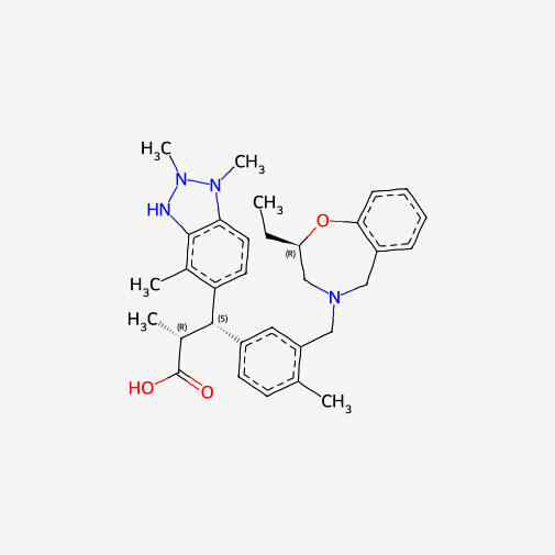 CC[C@@H]1CN(Cc2cc([C@@H](c3ccc4c(c3C)NN(C)N4C)[C@@H](C)C(=O)O)ccc2C)Cc2ccccc2O1